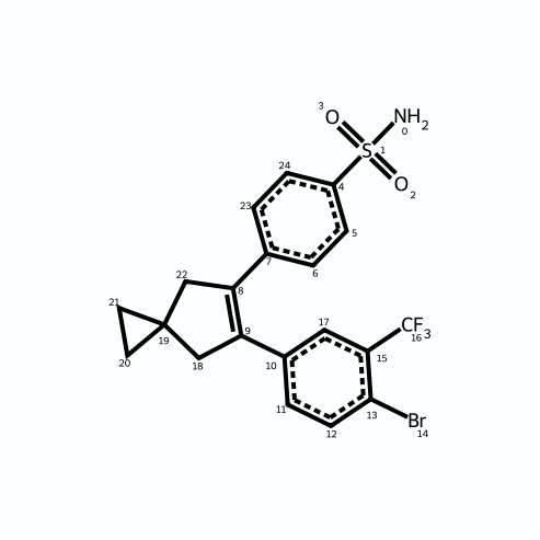 NS(=O)(=O)c1ccc(C2=C(c3ccc(Br)c(C(F)(F)F)c3)CC3(CC3)C2)cc1